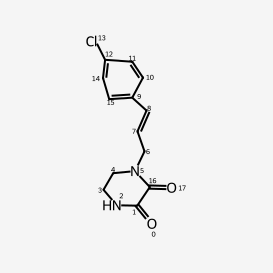 O=C1NCCN(C/C=C/c2ccc(Cl)cc2)C1=O